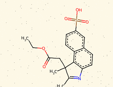 CCOC(=O)CC1(C)C(C)=Nc2ccc3cc(S(=O)(=O)O)ccc3c21